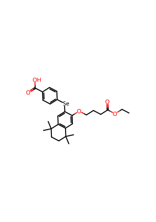 CCOC(=O)CCCOc1cc2c(cc1[Se]c1ccc(C(=O)O)cc1)C(C)(C)CCC2(C)C